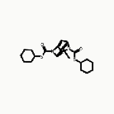 Cc1c2c3c(cc1n3C(=O)SC1CCCCC1)N2C(=O)SC1CCCCC1